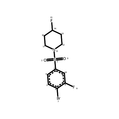 O=S(=O)(c1ccc(Br)c(F)c1)N1CCC(F)CC1